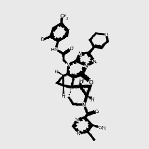 Cc1ncnc(C(=O)N2CC[C@]3(c4c(n(CC(=O)Nc5ccc(C(F)(F)F)cc5Cl)c5nc(C6=CCOCC6)nn5c4=O)[C@H]4C[C@H]43)[C@@H]3C[C@@H]32)c1O